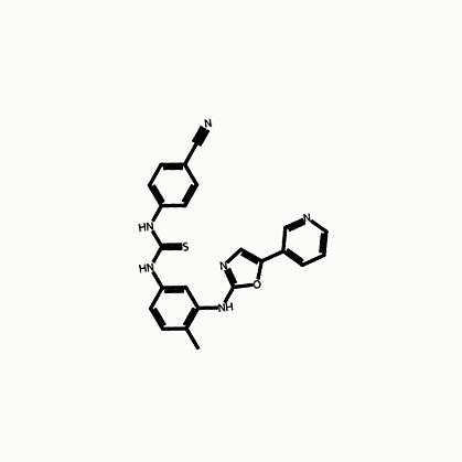 Cc1ccc(NC(=S)Nc2ccc(C#N)cc2)cc1Nc1ncc(-c2cccnc2)o1